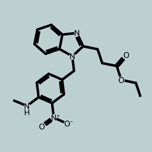 CCOC(=O)CCc1nc2ccccc2n1Cc1ccc(NC)c([N+](=O)[O-])c1